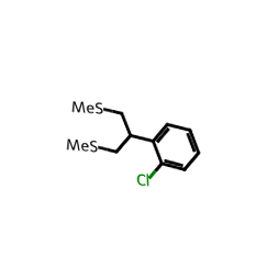 CSCC(CSC)c1ccccc1Cl